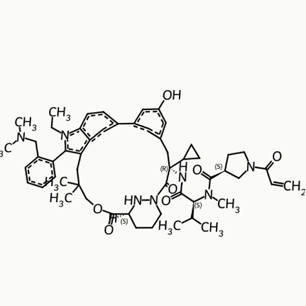 C=CC(=O)N1CC[C@H](C(=O)N(C)[C@H](C(=O)N[C@@]2(C3CC3)Cc3cc(O)cc(c3)-c3ccc4c(c3)c(c(-c3ccccc3CN(C)C)n4CC)CC(C)(C)COC(=O)[C@@H]3CCCN(N3)C2=O)C(C)C)C1